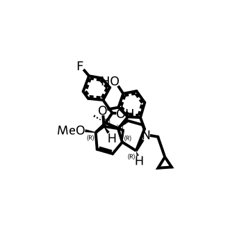 CO[C@]12C=C[C@@]3(C[C@]1(C)C(O)c1ccc(F)cc1)[C@H]1Cc4ccc(O)c5c4[C@@]3(CCN1CC1CC1)[C@H]2O5